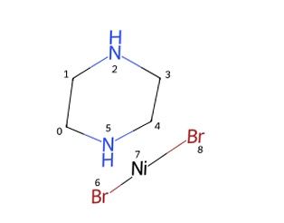 C1CNCCN1.[Br][Ni][Br]